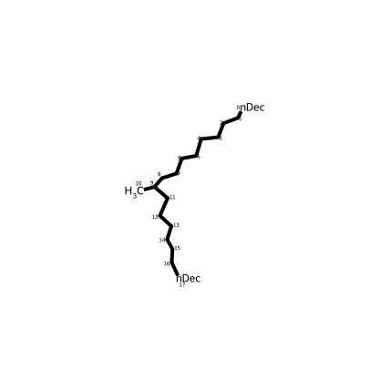 CCCCCCCCCCCCCCCCCCC(C)CCCCCCCCCCCCCCCC